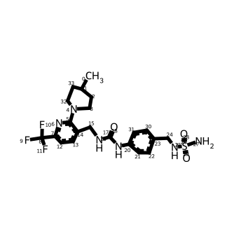 CC1CCN(c2nc(C(F)(F)F)ccc2CNC(=O)Nc2ccc(CNS(N)(=O)=O)cc2)CC1